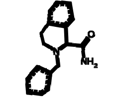 NC(=O)C1c2ccccc2CCN1Cc1ccccc1